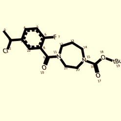 CC(Cl)c1ccc(F)c(C(=O)N2CCCN(C(=O)OC(C)(C)C)CC2)c1